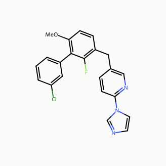 COc1ccc(Cc2ccc(-n3ccnc3)nc2)c(F)c1-c1cccc(Cl)c1